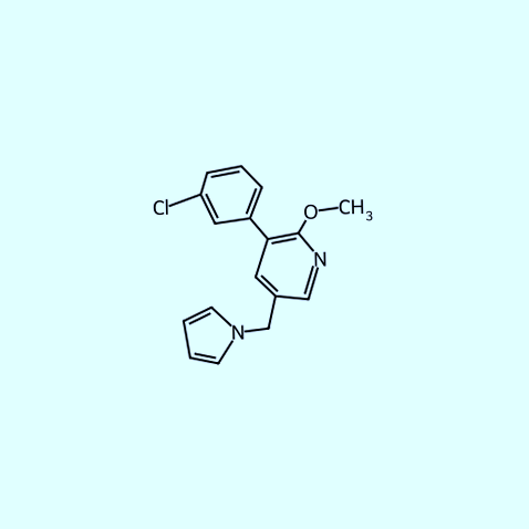 COc1ncc(Cn2cccc2)cc1-c1cccc(Cl)c1